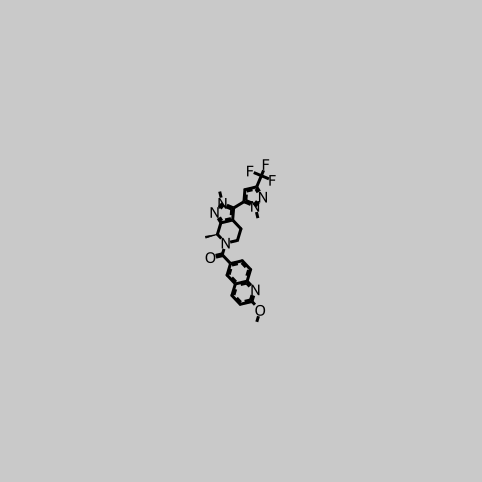 COc1ccc2cc(C(=O)N3CCc4c(nn(C)c4-c4cc(C(F)(F)F)nn4C)[C@@H]3C)ccc2n1